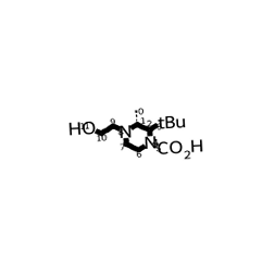 C[C@@H]1C(C(C)(C)C)N(C(=O)O)CCN1CCO